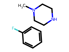 CN1CCNCC1.Fc1ccccc1